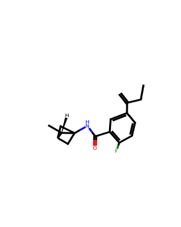 C=C(CC)c1ccc(F)c(C(=O)NC23CC(C2)[C@@H]3C)c1